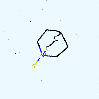 [S-][N+]12CCC(CC1)CC2